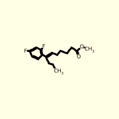 CCCC(=CCCCCC(=O)OC)c1ccc(F)cc1F